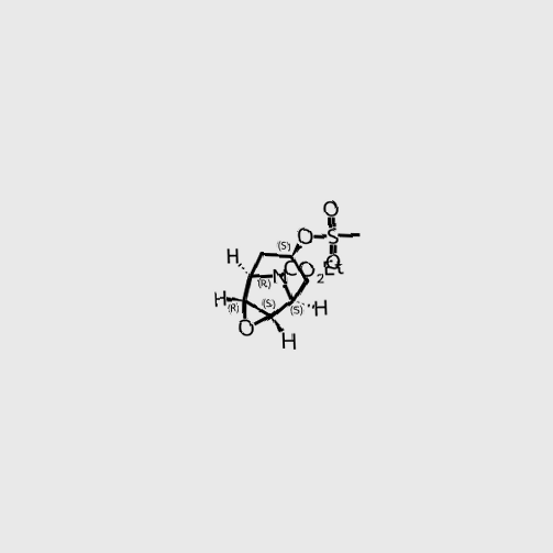 CCOC(=O)N1[C@@H]2C[C@@H](OS(C)(=O)=O)C[C@H]1[C@@H]1O[C@@H]12